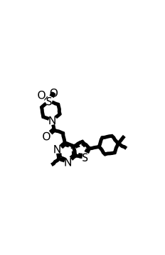 Cc1nc(CC(=O)N2CCS(=O)(=O)CC2)c2cc(C3CCC(C)(C)CC3)sc2n1